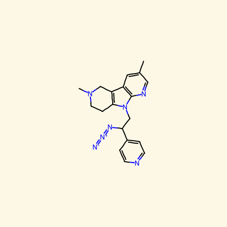 Cc1cnc2c(c1)c1c(n2CC(N=[N+]=[N-])c2ccncc2)CCN(C)C1